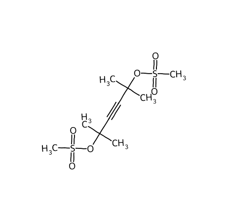 CC(C)(C#CC(C)(C)OS(C)(=O)=O)OS(C)(=O)=O